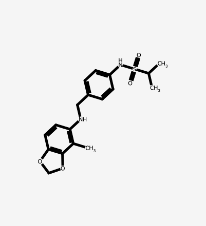 Cc1c(NCc2ccc(NS(=O)(=O)C(C)C)cc2)ccc2c1OCO2